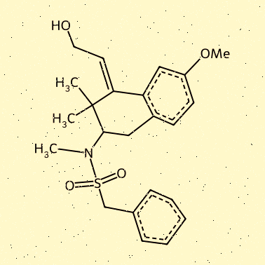 COc1ccc2c(c1)C(=CCO)C(C)(C)C(N(C)S(=O)(=O)Cc1ccccc1)C2